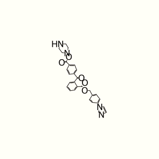 O=C(ON1CCNCC1)c1ccc(C(=O)c2ccccc2C(=O)OCc2ccc(-n3ccnc3)cc2)cc1